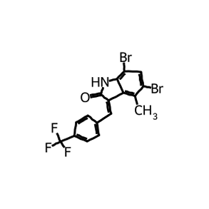 Cc1c(Br)cc(Br)c2c1C(=Cc1ccc(C(F)(F)F)cc1)C(=O)N2